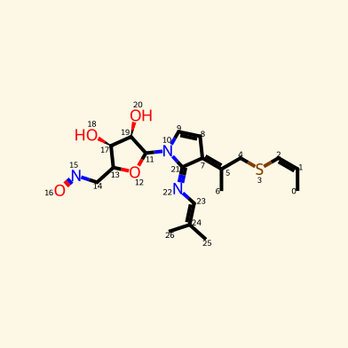 C/C=C\SC/C(C)=C1\C=CN(C2OC(CN=O)[C@@H](O)[C@H]2O)\C1=N\C=C(C)C